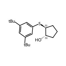 CC(C)(C)c1cc(S[C@H]2CCC[C@@H]2O)cc(C(C)(C)C)c1